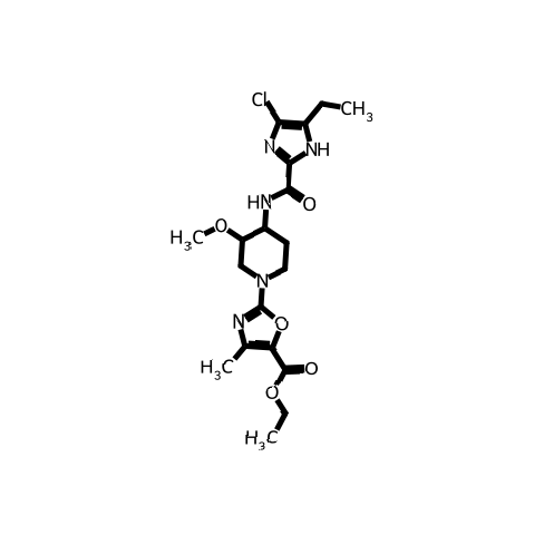 CCOC(=O)c1oc(N2CCC(NC(=O)c3nc(Cl)c(CC)[nH]3)C(OC)C2)nc1C